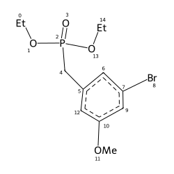 CCOP(=O)(Cc1cc(Br)cc(OC)c1)OCC